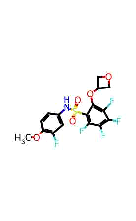 COc1ccc(NS(=O)(=O)c2c(F)c(F)c(F)c(F)c2OC2COC2)cc1F